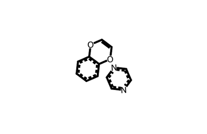 C1=COc2ccccc2O1.c1cnccn1